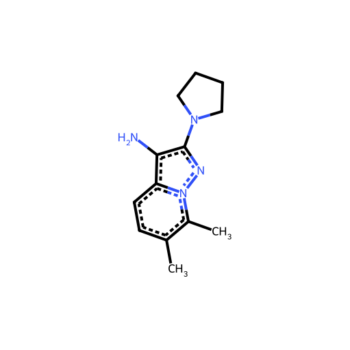 Cc1ccc2c(N)c(N3CCCC3)nn2c1C